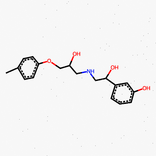 Cc1ccc(OCC(O)CNCC(O)c2cccc(O)c2)cc1